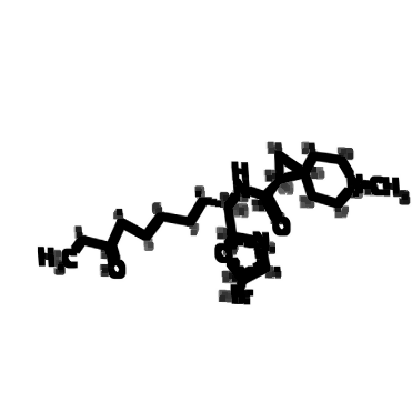 CCC(=O)CCCCC[C@H](NC(=O)[C@H]1CC12CCN(C)CC2)c1ncc(Br)o1